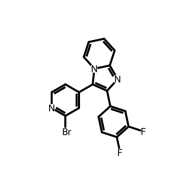 Fc1ccc(-c2nc3ccccn3c2-c2ccnc(Br)c2)cc1F